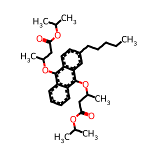 CCCCCc1ccc2c(OC(C)CC(=O)OC(C)C)c3ccccc3c(OC(C)CC(=O)OC(C)C)c2c1